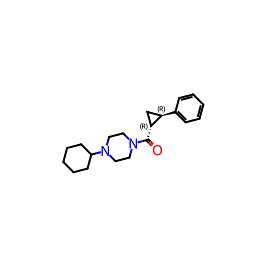 O=C([C@@H]1C[C@H]1c1ccccc1)N1CCN(C2CCCCC2)CC1